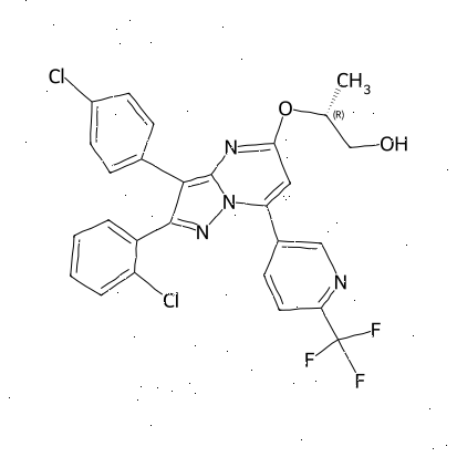 C[C@H](CO)Oc1cc(-c2ccc(C(F)(F)F)nc2)n2nc(-c3ccccc3Cl)c(-c3ccc(Cl)cc3)c2n1